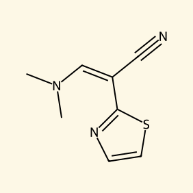 CN(C)/C=C(/C#N)c1nccs1